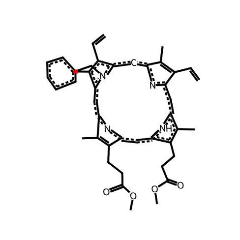 C=CC1=C(C)c2cc3c(C=C)c(C)c(cc4nc(cc5[nH]c(cc1n2)c(C)c5CCC(=O)OC)C(CCC(=O)OC)=C4C)n3Cc1ccccc1